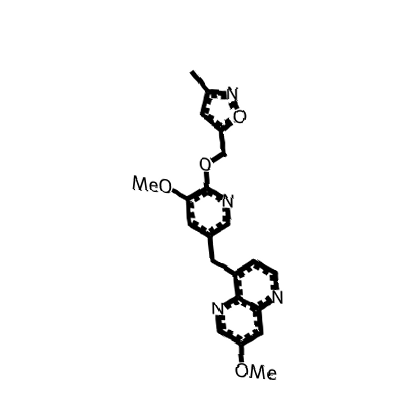 COc1cnc2c(Cc3cnc(OCc4cc(C)no4)c(OC)c3)ccnc2c1